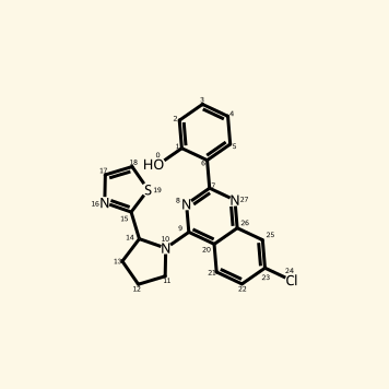 Oc1ccccc1-c1nc(N2CCCC2c2nccs2)c2ccc(Cl)cc2n1